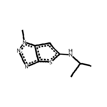 CC(C)Nc1cc2c(nnn2C)s1